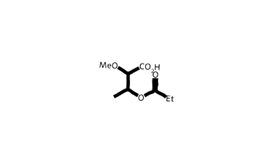 CCC(=O)OC(C)C(OC)C(=O)O